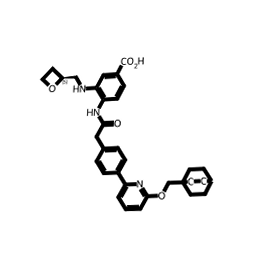 O=C(Cc1ccc(-c2cccc(OCC34CCC(CC3)CC4)n2)cc1)Nc1ccc(C(=O)O)cc1NC[C@@H]1CCO1